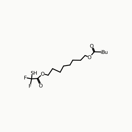 CCC(C)C(=O)OCCCCCCCCOC(=O)C(F)(F)S